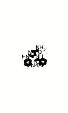 CC(=O)Nc1cccc(Nc2cc(NC(CO)c3ccccc3)c(C(N)=O)cn2)c1